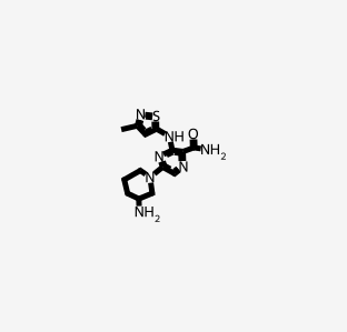 Cc1cc(Nc2nc(N3CCCC(N)C3)cnc2C(N)=O)sn1